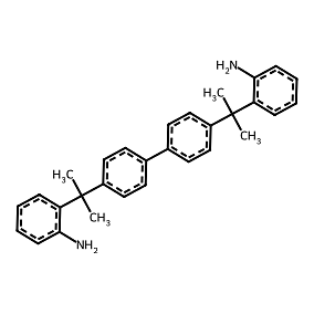 CC(C)(c1ccc(-c2ccc(C(C)(C)c3ccccc3N)cc2)cc1)c1ccccc1N